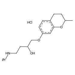 CC(C)NCCC(O)COc1ccc2c(c1)OC(C)CC2.Cl